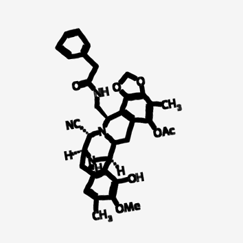 COc1c(C)cc2c(c1O)[C@@H]1C3Cc4c(OC(C)=O)c(C)c5c(c4[C@H](CNC(=O)Cc4ccccc4)N3[C@@H](C#N)[C@H](C2)N1C)OCO5